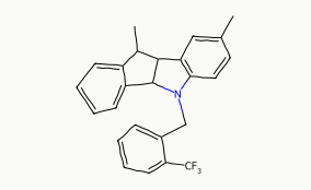 Cc1ccc2c(c1)C1C(C)c3ccccc3C1N2Cc1ccccc1C(F)(F)F